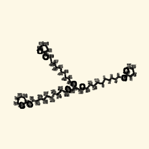 C(CCCCCOC1CCCCO1)CCCCOCC(COCCCCCCCCCCOC1CCCCO1)OCCCCCCCCCCOC1CCCCO1